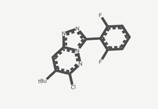 CC(C)(C)c1cc2nnc(-c3c(F)cccc3F)n2nc1Cl